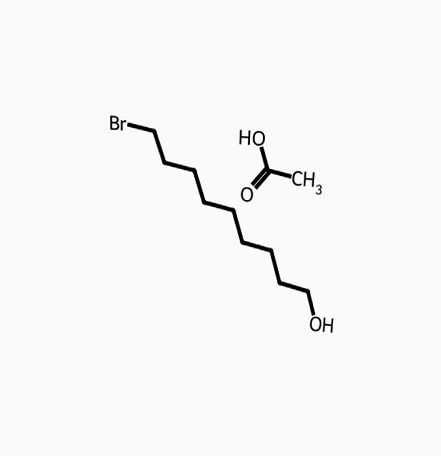 CC(=O)O.OCCCCCCCCCBr